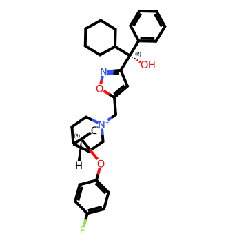 O[C@](c1ccccc1)(c1cc(C[N+]23CCC(CC2)[C@@H](Oc2ccc(F)cc2)C3)on1)C1CCCCC1